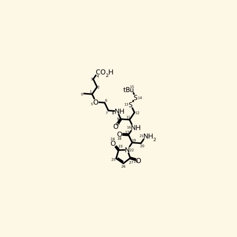 CC(CCC(=O)O)OCCNC(=O)C(CSSC(C)(C)C)NC(=O)C(CN)N1C(=O)C=CC1=O